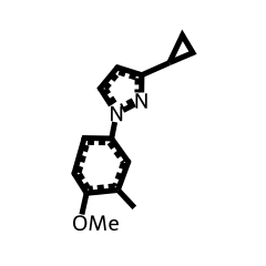 COc1ccc(-n2ccc(C3CC3)n2)cc1C